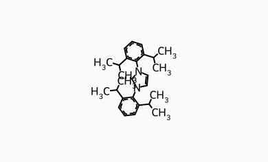 CC(C)c1cccc(C(C)C)c1N1[C]N(c2c(C(C)C)cccc2C(C)C)C=C1